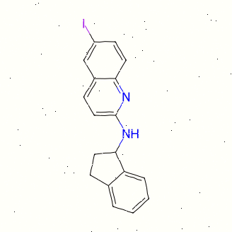 Ic1ccc2nc(NC3CCc4ccccc43)ccc2c1